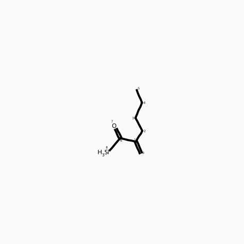 C=C(CCCC)C(=O)[SiH3]